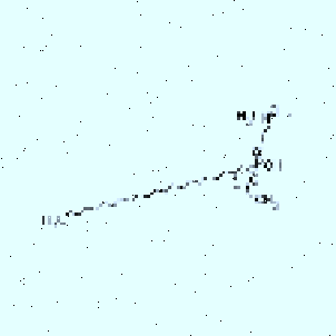 CCCCCCCCCCCCCCCCCCCCC(COP(O)OCCCN(C)C)OC(=O)CC